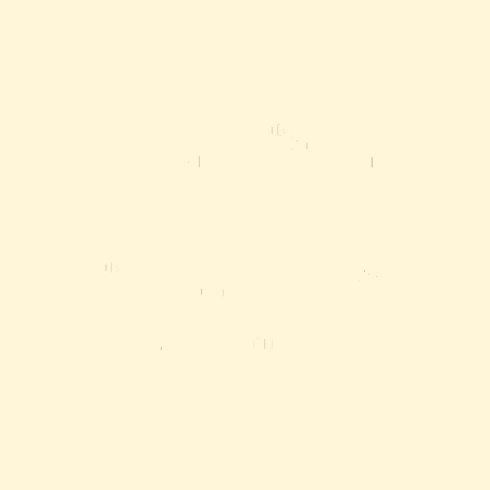 Cc1cc2c(cc1C(C)(C)C)=c1c(c(C3=CC=CC3)c(C)c(C(C)(C)C)c1=C(c1ccc(C(C)(C)C)cc1)c1ccc(C(C)(C)C)cc1)[C]=2[Zr+2].[Cl-].[Cl-]